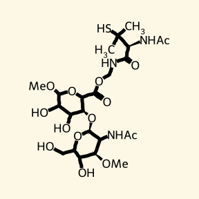 COC1OC(C(=O)OCNC(=O)[C@H](NC(C)=O)C(C)(C)S)[C@@H](O[C@@H]2OC(CO)C(O)[C@H](OC)C2NC(C)=O)C(O)C1O